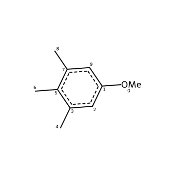 COc1cc(C)c(C)c(C)c1